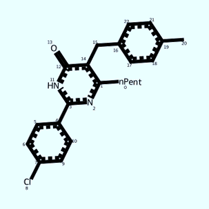 CCCCCc1nc(-c2ccc(Cl)cc2)[nH]c(=O)c1Cc1ccc(C)cc1